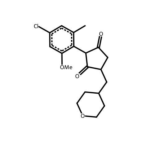 COc1cc(Cl)cc(C)c1C1C(=O)CC(CC2CCOCC2)C1=O